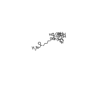 CP(O)(O)(O)C(O)(Cn1ccnc1)[P@](O)OOCCCCCC(=O)CN